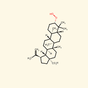 C=C(C)[C@@H]1CC[C@]2(C(=O)O)CC[C@]3(C)[C@H](CC[C@@H]4[C@@]5(C)CC[C@H](OO)C(C)(C)[C@@H]5CC[C@]43C)[C@@H]12